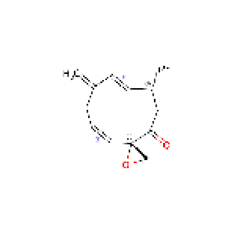 C=C1/C=C/[C@H](C(C)C)CC(=O)[C@]2(/C=C\C1)CO2